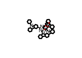 c1ccc(-c2nc(-c3ccc4c(c3)c3ccccc3n4-c3ccccc3)nc(-n3c4ccccc4c4ccc5c6ccccc6n(-c6cccc7c8ccccc8c8ccccc8c67)c5c43)n2)cc1